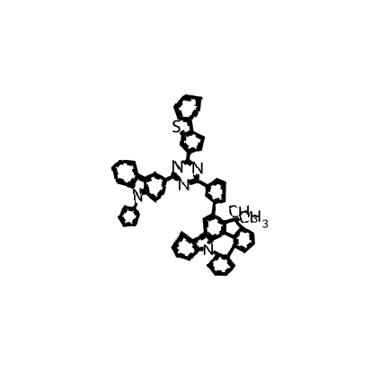 CC1(C)c2cccc3c2-c2c1c(-c1cccc(-c4nc(-c5ccc6c(c5)sc5ccccc56)nc(-c5ccc6c(c5)c5ccccc5n6-c5ccccc5)n4)c1)cc1c4ccccc4n(c21)-c1ccccc1-3